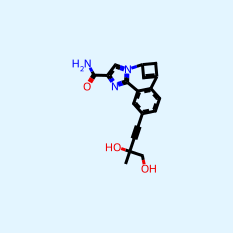 CC(O)(C#Cc1ccc2c(c1)-c1nc(C(N)=O)cn1C1C=C2C1)CO